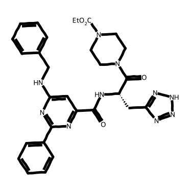 CCOC(=O)N1CCN(C(=O)[C@H](Cc2nn[nH]n2)NC(=O)c2cc(NCc3ccccc3)nc(-c3ccccc3)n2)CC1